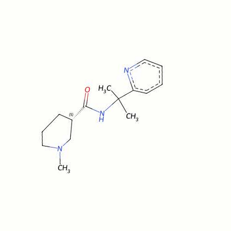 CN1CCC[C@H](C(=O)NC(C)(C)c2ccccn2)C1